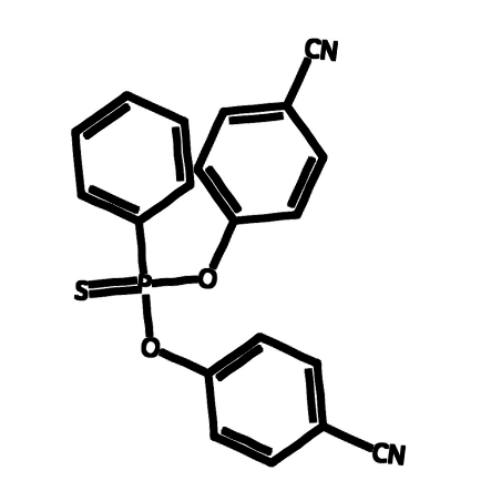 N#Cc1ccc(OP(=S)(Oc2ccc(C#N)cc2)c2ccccc2)cc1